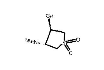 CN[C@H]1CS(=O)(=O)C[C@@H]1O